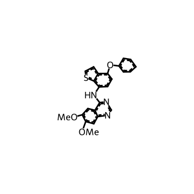 COc1cc2ncnc(Nc3ccc(Oc4ccccc4)c4ccsc34)c2cc1OC